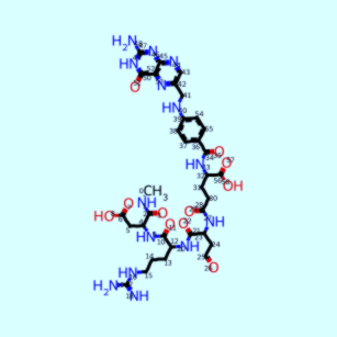 CNC(=O)C(CC(=O)O)NC(=O)C(CCCNC(=N)N)NC(=O)C(CC=O)NC(=O)CCC(NC(=O)c1ccc(NCc2cnc3nc(N)[nH]c(=O)c3n2)cc1)C(=O)O